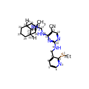 CCSc1ncccc1CNc1ncc(C#N)c(NCC2(C)C[C@H]3CCC[C@@H](C2)[C@@H]3N)n1